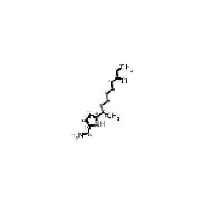 C=CC(=O)CCCCCC(C)c1ccc(CN)[nH]1